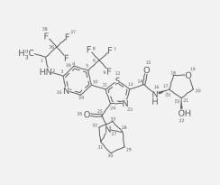 CC(Nc1cc(C(F)(F)F)c(-c2sc(C(=O)N[C@H]3COC[C@H]3O)nc2C(=O)N2C3CCC2CC3)cn1)C(F)(F)F